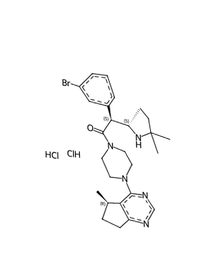 C[C@@H]1CCc2ncnc(N3CCN(C(=O)[C@@H](c4cccc(Br)c4)[C@@H]4CCC(C)(C)N4)CC3)c21.Cl.Cl